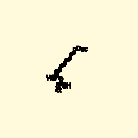 CCCCCCCCCCCCCCCCCCN(O)OB(O)OCC